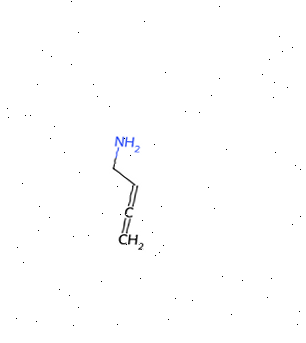 C=C=CCN